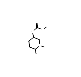 CCC1CCC(NC(=O)OC(C)(C)C)CN1C(=O)O